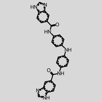 O=C(Nc1ccc(Nc2ccc(NC(=O)c3ccc4[nH]cnc4c3)cc2)cc1)c1ccc2[nH]cnc2c1